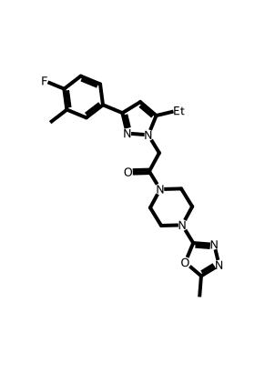 CCc1cc(-c2ccc(F)c(C)c2)nn1CC(=O)N1CCN(c2nnc(C)o2)CC1